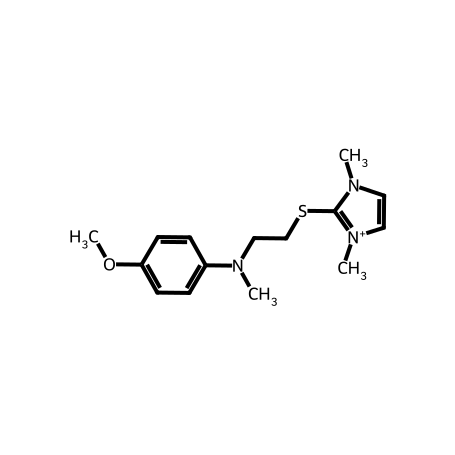 COc1ccc(N(C)CCSc2n(C)cc[n+]2C)cc1